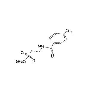 COS(=O)(=O)CCNC(=O)c1ccc(C)cc1